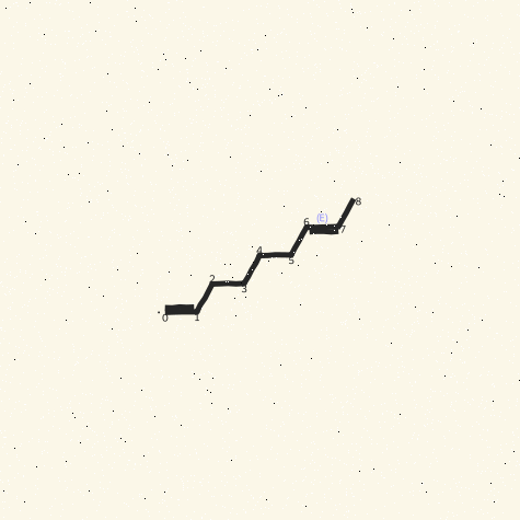 [CH]=CCCCC/C=C/C